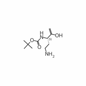 C=C(O)[C@H](CCN)NC(=O)OC(C)(C)C